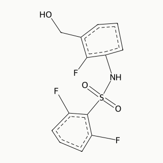 O=S(=O)(Nc1cccc(CO)c1F)c1c(F)cccc1F